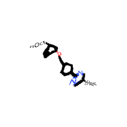 CCCCCCCCc1ccc(OCC2CCC(c3ncc(CCCCCCC)cn3)CC2)cc1